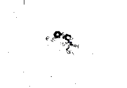 CC1(Sc2cccc(C(F)(F)F)c2)CCOC(/C(N)=C/C(=N)SCCO)C1